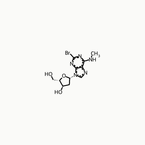 CNc1nc(Br)nc2c1ncn2[C@@H]1C[C@@H](O)[C@H](CO)O1